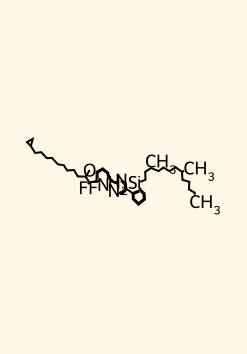 CCCCCC(C)CCCCC(C)CC[SiH2]c1ccccc1-c1cnc(-c2ccc3c(n2)C(F)(F)C(CCCCCCCCCC2CC2)O3)nc1